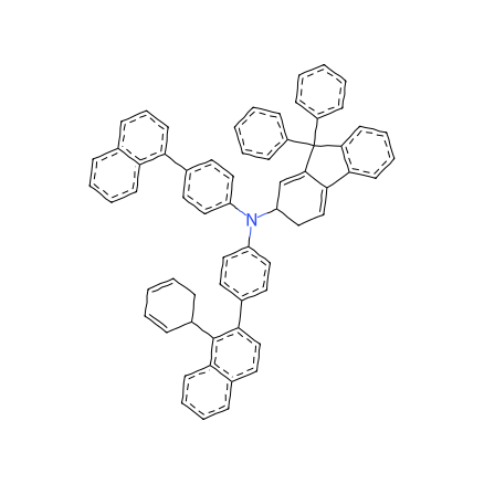 C1=CCC(c2c(-c3ccc(N(c4ccc(-c5cccc6ccccc56)cc4)C4C=C5C(=CC4)c4ccccc4C5(c4ccccc4)c4ccccc4)cc3)ccc3ccccc23)C=C1